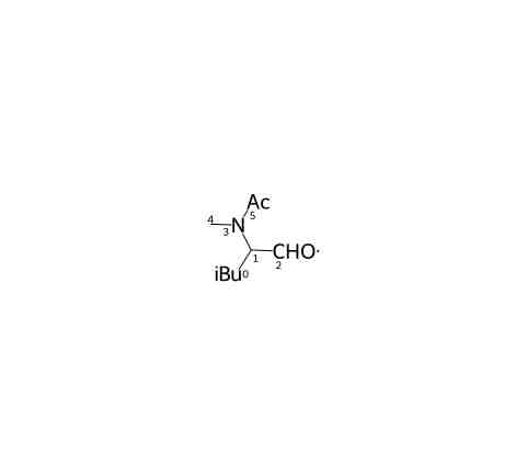 CCC(C)C([C]=O)N(C)C(C)=O